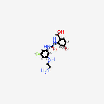 NCCNc1cc(F)cc(NC(=O)Nc2cc(Br)ccc2CO)c1